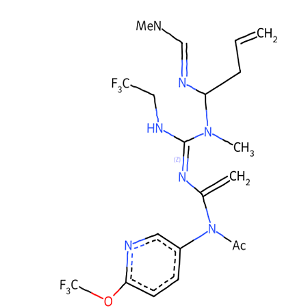 C=CCC(N=CNC)N(C)/C(=N\C(=C)N(C(C)=O)c1ccc(OC(F)(F)F)nc1)NCC(F)(F)F